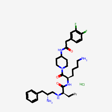 CC(C)C[C@@H](NC[C@H](N)Cc1ccccc1)C(=O)N[C@H](CCCCN)C(=O)N1CCC(NC(=O)Cc2ccc(F)c(F)c2)CC1.Cl